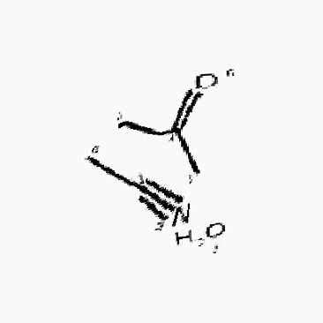 CC#N.CC(C)=O.O